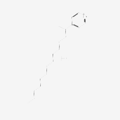 CCCCCCCCCCCCC(C)c1ccncc1.Cl